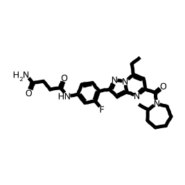 CCc1cc(C(=O)N2CCCCCC2C)nc2cc(-c3ccc(NC(=O)CCC(N)=O)cc3F)nn12